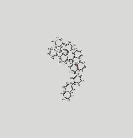 c1ccc(-c2ccccc2N(c2ccc(-c3cccc(-c4ccc5ccccc5c4)c3)cc2)c2ccc3c(c2)C(c2ccccc2)(c2ccccc2)c2ccccc2-3)cc1